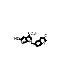 N#Cc1cc2c(C(=O)O)cn(Cc3ccc4ncc(Cl)cc4c3)c2cn1